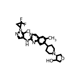 Cc1cc2cnc(Nc3cnn(C4CC4(F)F)c3Cl)nc2cc1C1CCN([C@@H]2COCC2O)CC1